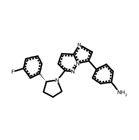 Nc1ccc(-c2cnc3ccc(N4CCC[C@@H]4c4cccc(F)c4)nn23)cc1